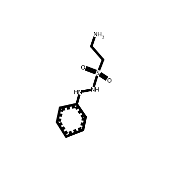 NCCS(=O)(=O)NNc1ccccc1